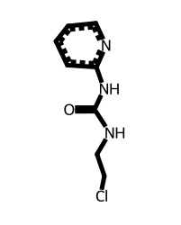 O=C(NCCCl)Nc1ccccn1